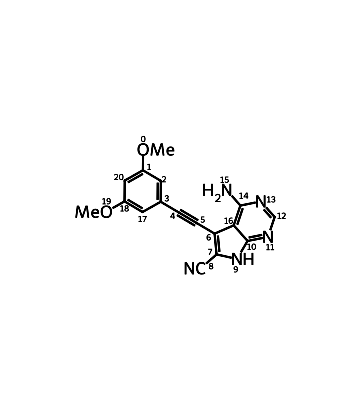 COc1cc(C#Cc2c(C#N)[nH]c3ncnc(N)c23)cc(OC)c1